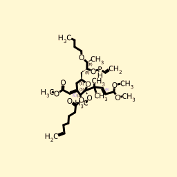 C=CCCCCC(=O)O[C@H]1/C(=C/C(=O)OC)C[C@@H](C[C@@H](OPC=C)[C@@H](C)OCCCC)O[C@@]1(OC)C(C)(C)/C=C/C(OC)OC